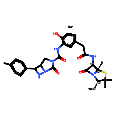 Cc1ccc(C2NN3C(=O)N(C(=O)Nc4cc(CC(=O)N[C@@H]5C(=O)N6[C@@H]5SC(C)(C)[C@@H]6C(=O)[O-])ccc4O)CC23)cc1.[Na+]